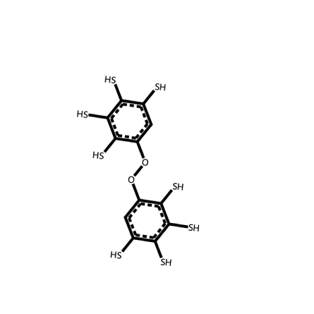 Sc1cc(OOc2cc(S)c(S)c(S)c2S)c(S)c(S)c1S